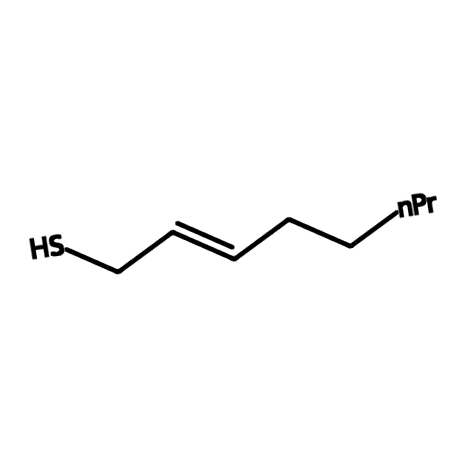 CCCCC/C=C/CS